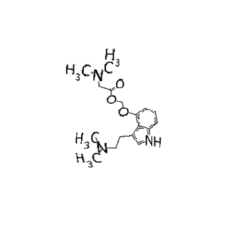 CN(C)CCc1c[nH]c2cccc(OCOC(=O)CN(C)C)c12